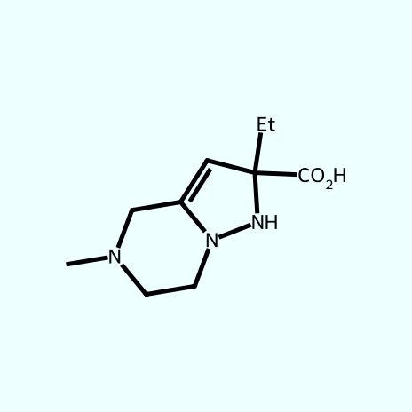 CCC1(C(=O)O)C=C2CN(C)CCN2N1